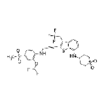 CS(=O)(=O)c1ccc(NCC#Cc2sc3c(NC4CCS(=O)(=O)CC4)cccc3c2CC(F)(F)F)c(OC(F)F)c1